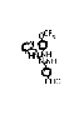 N=C(/N=C(/NCc1ncccn1)Nc1ccc(OC(F)(F)F)cc1)c1ccc(C=O)cc1